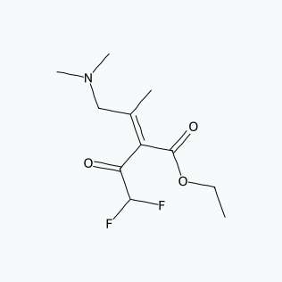 CCOC(=O)/C(C(=O)C(F)F)=C(\C)CN(C)C